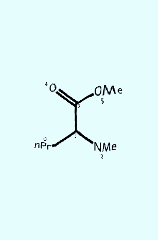 CCCC(NC)C(=O)OC